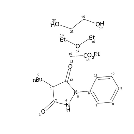 CCCCC1C(=O)NN(c2ccccc2)C1=O.CCOC(C)=O.CCOCC.OCCO